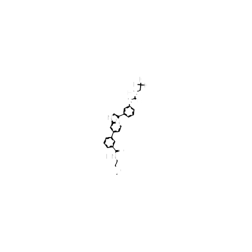 COCCNC(=O)c1cccc(-c2ccn3c(-c4cccc(NC(=O)NCC(F)(F)F)c4)cnc3c2)c1